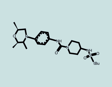 CC1[C@@H](C)O[C@@H](C)CN1c1ccc(NC(=O)N2CCC(NS(=O)(=O)C(C)(C)C)CC2)cc1